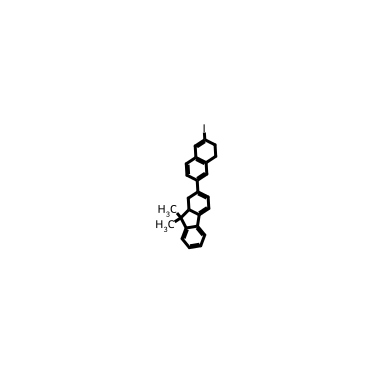 CC1(C)c2ccccc2C2=CC=C(c3ccc4c(c3)CCC(I)=C4)CC21